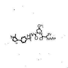 CN[C@H](C(=O)N1C[C@H](O)C[C@H]1C(=O)N[C@@H](C)c1ccc(-c2scnc2C)cc1)C(C)C